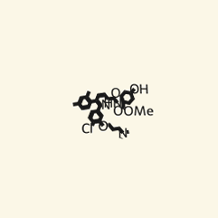 COC(=O)C1(NC(=O)c2ccc(-c3ccc(C)cc3C)c(-c3ccc(Cl)c(OCCCN(C)C)c3)n2)CCC(O)CC1